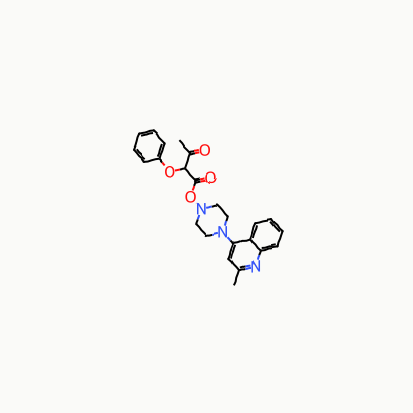 CC(=O)C(Oc1ccccc1)C(=O)ON1CCN(c2cc(C)nc3ccccc23)CC1